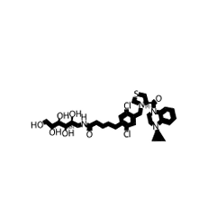 O=C(CCCCc1cc(Cl)c(CN2CSC[C@H]2C(=O)N2CCN(C3CC3)c3ccccc32)cc1Cl)NC[C@H](O)[C@@H](O)[C@H](O)[C@H](O)CO